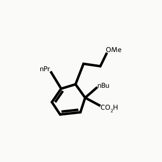 CCCCC1(C(=O)O)C=CC=C(CCC)C1CCOC